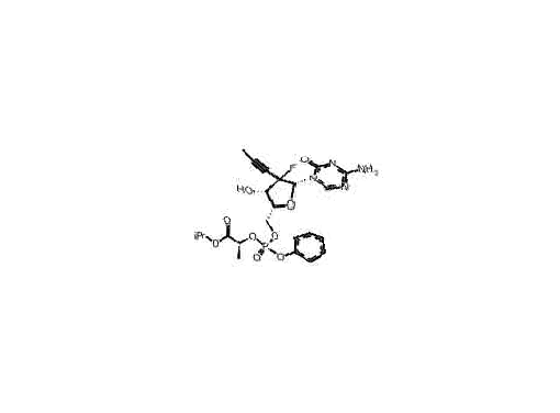 CC#CC1(F)[C@@H](O)[C@@H](CO[P@](=O)(Oc2ccccc2)O[C@@H](C)C(=O)OC(C)C)O[C@H]1n1cnc(N)nc1=O